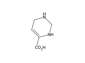 O=C(O)C1=CCNCN1